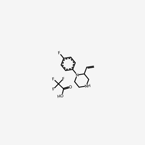 C=CC1CNCCN1c1ccc(F)cc1.O=C(O)C(F)(F)F